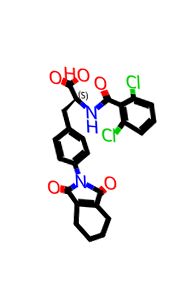 O=C(N[C@@H](Cc1ccc(N2C(=O)C3=C(CCCC3)C2=O)cc1)C(=O)O)c1c(Cl)cccc1Cl